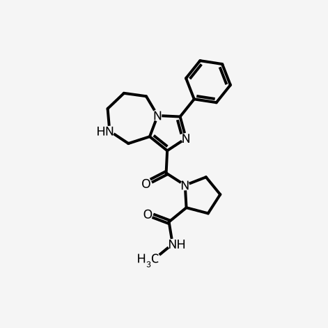 CNC(=O)C1CCCN1C(=O)c1nc(-c2ccccc2)n2c1CNCCC2